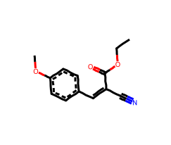 CCOC(=O)/C(C#N)=C\c1ccc(OC)cc1